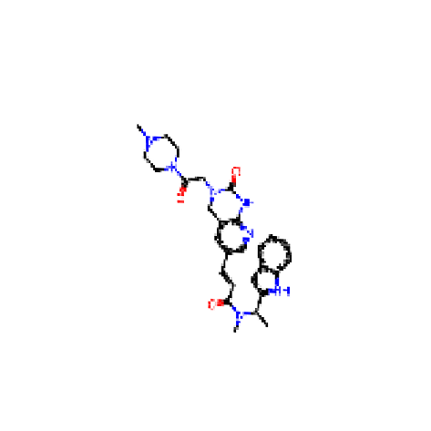 CC(c1cc2ccccc2[nH]1)N(C)C(=O)C=Cc1cnc2c(c1)CN(CC(=O)N1CCN(C)CC1)C(=O)N2